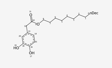 CCCCCCCCCCCCCCCCCCOC(=O)Cc1ccc(O)c(O)c1